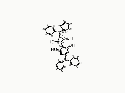 Oc1cc(N(c2ccccc2)c2ccccc2)cc(O)c1C1C(O)C(N(c2ccccc2)c2ccccc2)C1O